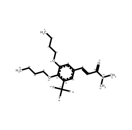 CCCCOc1cc(/C=C/C(=O)N(C)C)cc(C(F)(F)F)c1OCCCC